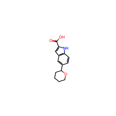 O=C(O)c1cc2cc(C3CCCCO3)ccc2[nH]1